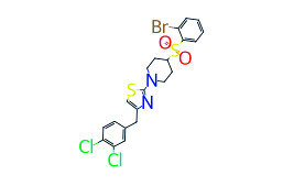 O=S(=O)(c1ccccc1Br)C1CCN(c2nc(Cc3ccc(Cl)c(Cl)c3)cs2)CC1